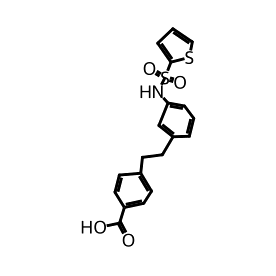 O=C(O)c1ccc(CCc2cccc(NS(=O)(=O)c3cccs3)c2)cc1